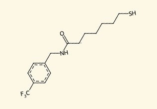 O=C([CH]CCCCCS)NCc1ccc(C(F)(F)F)cc1